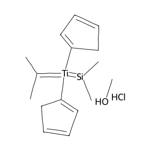 CO.C[C](C)=[Ti]([C]1=CC=CC1)([C]1=CC=CC1)=[Si](C)C.Cl